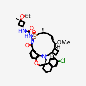 CCO[C@]1(C)C[C@H](NC(=O)NS2(=O)=NC(=O)c3ccc4c(c3)N(C[C@@H]3CC[C@H]3[C@@H](OC)/C=C/C[C@H](C)C2)C[C@@]2(CCCc3cc(Cl)ccc32)CO4)C1